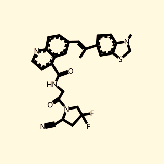 CC(=Cc1ccc2nccc(C(=O)NCC(=O)N3CC(F)(F)CC3C#N)c2c1)c1ccc2c(c1)SCN2C